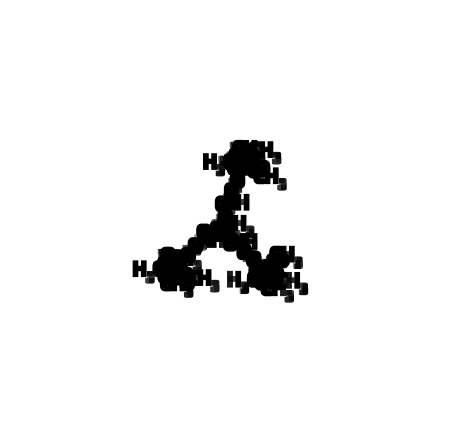 CC(=O)OCC1OC(OCCOCCOCCNC(=O)CCOCC(N)(COCCC(=O)NCCOCCOCCOC2OC(COC(C)=O)C(OC(C)=O)C(OC(C)=O)C2OC(C)=O)COCCC(=O)NCCOCCOCCOC2OC(COC(C)=O)C(OC(C)=O)C(OC(C)=O)C2OC(C)=O)C(OC(C)=O)C(OC(C)=O)C1OC(C)=O